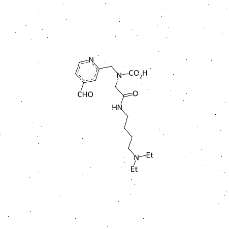 CCN(CC)CCCCNC(=O)CN(Cc1cc(C=O)ccn1)C(=O)O